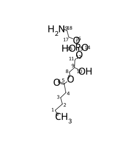 CCCCCC(=O)OCC(O)COP(=O)(O)OCCN